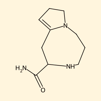 NC(=O)C1CC2=CCCN2CCCN1